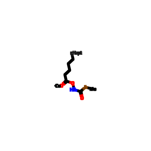 CCCCCCCCCCCC(=O)ONC(=O)[S][Mo].[Co]